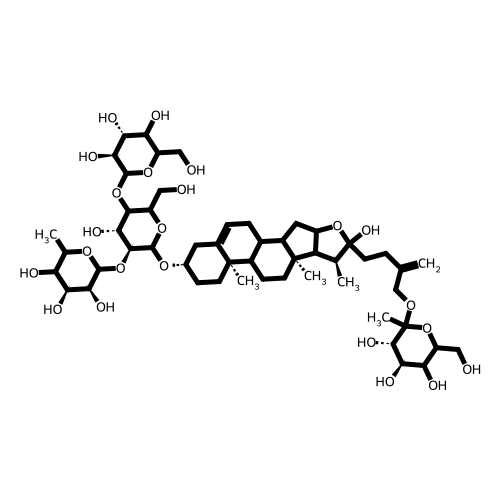 C=C(CCC1(O)OC2CC3C4CC=C5C[C@@H](OC6OC(CO)C(OC7OC(CO)C(O)[C@@H](O)[C@@H]7O)[C@@H](O)[C@@H]6OC6OC(C)C(O)[C@H](O)[C@@H]6O)CC[C@]5(C)C4CC[C@]3(C)C2[C@@H]1C)COC1(C)OC(CO)C(O)[C@@H](O)[C@@H]1O